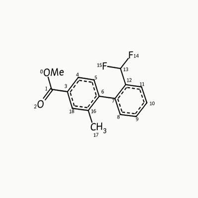 COC(=O)c1ccc(-c2ccccc2C(F)F)c(C)c1